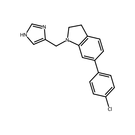 Clc1ccc(-c2ccc3c(c2)N(Cc2c[nH]cn2)CC3)cc1